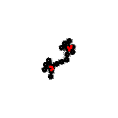 C1=CC2c3ccc4c5ccccc5n(-c5ccccc5)c4c3N(c3nc(-c4ccc(-c5ccccc5)cc4)nc(-c4ccc(-c5ccc(-c6cccc(-c7ccc(-c8nc(-c9ccccc9)nc(-n9c%10ccccc%10c%10ccc%11c%12ccccc%12n(-c%12ccc(-c%13ccccc%13)cc%12)c%11c%109)n8)cc7)c6)cc5)cc4)n3)C2C=C1